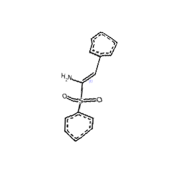 N/C(=C\c1ccccc1)S(=O)(=O)c1ccccc1